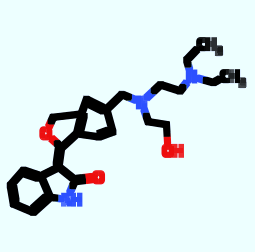 CCN(CC)CCN(CCO)Cc1ccc2c(c1)CO/C2=C1/C(=O)Nc2ccccc21